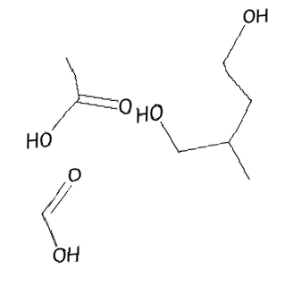 CC(=O)O.CC(CO)CCO.O=CO